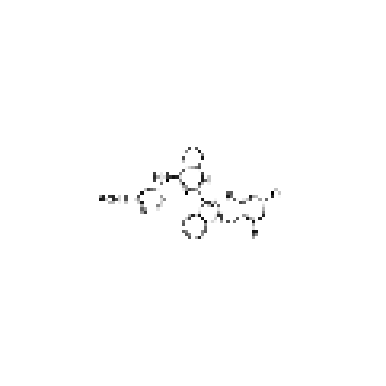 CC(=O)Nc1cc(Nc2nc(-c3nn(Cc4c(F)cc(O)cc4F)c4ccccc34)nc3c2CCC3)ccn1